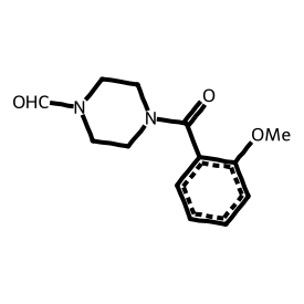 COc1ccccc1C(=O)N1CCN(C=O)CC1